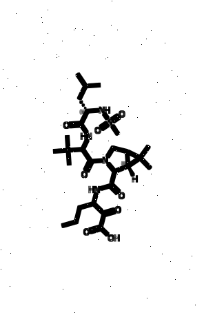 CCCC(NC(=O)C1[C@@H]2C(CN1C(=O)C(NC(=O)[C@H](CC(C)C)NS(C)(=O)=O)C(C)(C)C)C2(C)C)C(=O)C(=O)O